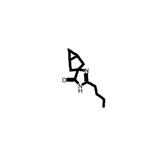 CCCCC1=NC2(CC3CC3C2)C(=O)N1